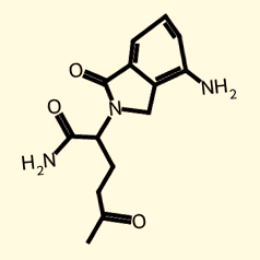 CC(=O)CCC(C(N)=O)N1Cc2c(N)cccc2C1=O